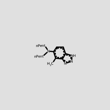 CCCCCN(CCCCC)c1ccc2[nH]nnc2c1C